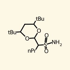 CCCC(C1OC(C(C)(C)C)CC(C(C)(C)C)O1)S(N)(=O)=O